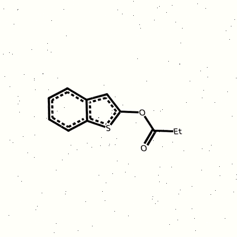 CCC(=O)Oc1cc2ccccc2s1